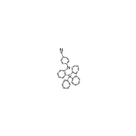 N#Cc1ccc(N2c3ccccc3[Si](c3ccccc3)(c3ccccc3)c3ccccc32)cc1